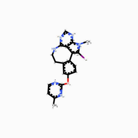 Cc1ccnc(Oc2ccc3c(c2)CCNc2ncnc4c2c-3c(I)n4C)n1